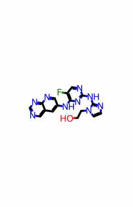 OCCn1ccnc1Nc1ncc(F)c(Nc2cnc3ncncc3c2)n1